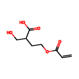 C=CC(=O)OCCC(CO)C(=O)O